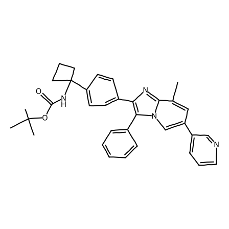 Cc1cc(-c2cccnc2)cn2c(-c3ccccc3)c(-c3ccc(C4(NC(=O)OC(C)(C)C)CCC4)cc3)nc12